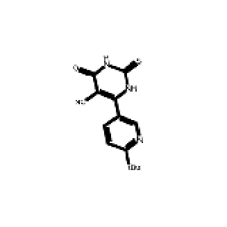 CC(C)(C)c1ccc(-c2[nH]c(=S)[nH]c(=O)c2C#N)cn1